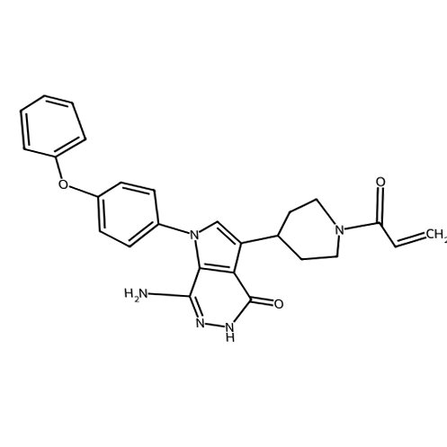 C=CC(=O)N1CCC(c2cn(-c3ccc(Oc4ccccc4)cc3)c3c(N)n[nH]c(=O)c23)CC1